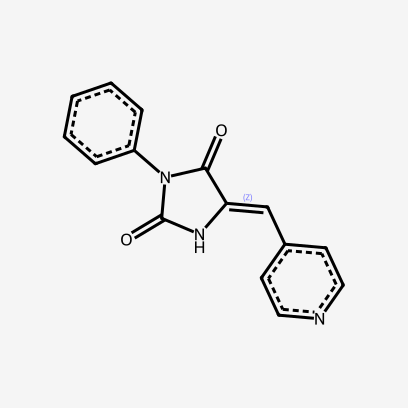 O=C1N/C(=C\c2ccncc2)C(=O)N1c1ccccc1